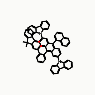 CC1(C)c2ccccc2-c2ccc(-c3ccccc3-c3c4cc(-n5c6ccccc6c6ccccc65)ccc4c(-c4cccc5ccccc45)c4cc(-n5c6ccccc6c6ccccc65)ccc34)cc21